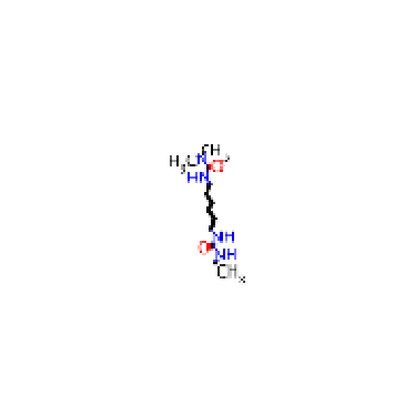 CCNC(=O)NCCCCCCNC(=O)N(C)C